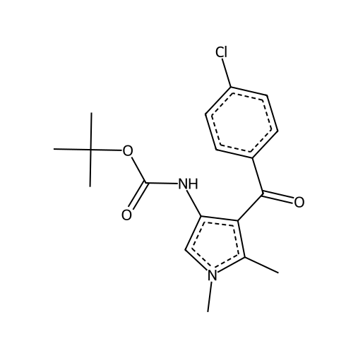 Cc1c(C(=O)c2ccc(Cl)cc2)c(NC(=O)OC(C)(C)C)cn1C